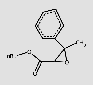 CCCCOC(=O)C1OC1(C)c1ccccc1